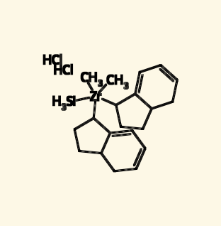 Cl.Cl.[CH3][Zr]([CH3])([SiH3])([CH]1CCC2CC=CC=C21)[CH]1CCC2CC=CC=C21